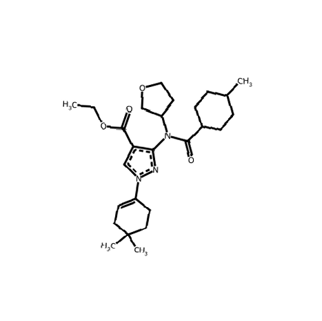 CCOC(=O)c1cn(C2=CCC(C)(C)CC2)nc1N(C(=O)C1CCC(C)CC1)C1CCOC1